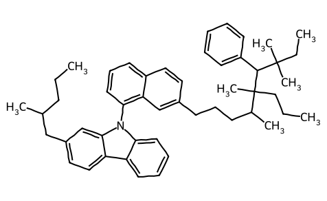 CCCC(C)Cc1ccc2c3ccccc3n(-c3cccc4ccc(CCCC(C)C(C)(CCC)C(c5ccccc5)C(C)(C)CC)cc34)c2c1